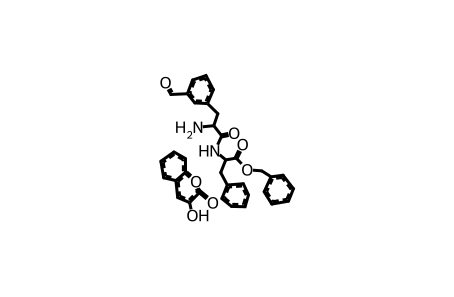 NC(Cc1cccc(C=O)c1)C(=O)NC(Cc1ccccc1)C(=O)OCc1ccccc1.O=c1oc2ccccc2cc1O